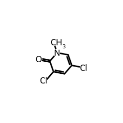 Cn1cc(Cl)cc(Cl)c1=O